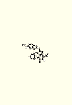 CCOc1ccc2nc(Cc3nc4c(c(=O)[nH]c(=O)n4C4CC4)n3Cc3ccccc3)[nH]c2c1